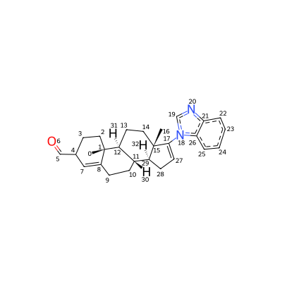 C[C@]12CCC(C=O)C=C1CC[C@@H]1[C@@H]2CC[C@]2(C)C(n3cnc4ccccc43)=CC[C@@H]12